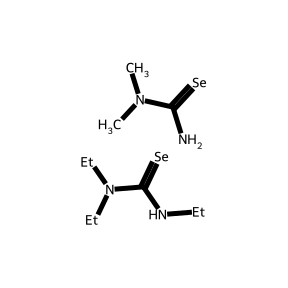 CCNC(=[Se])N(CC)CC.CN(C)C(N)=[Se]